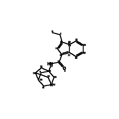 CCc1cc(C(=O)NC23CC4CN(CC4C2)C3)c2ccccn12